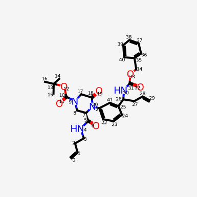 C=CCCNC(=O)[C@H]1CN(C(=O)OC(C)(C)C)CC(=O)N1c1cccc(C(CC=C)NC(=O)OCc2ccccc2)c1